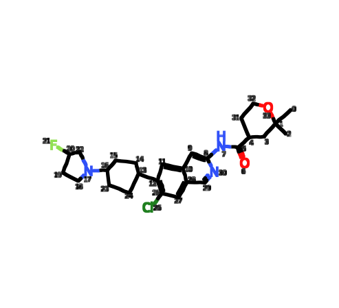 CC1(C)CC(C(=O)Nc2cc3cc(C4CCC(N5CCC(F)C5)CC4)c(Cl)cc3cn2)CCO1